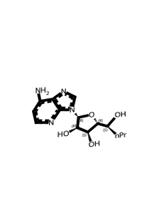 CCC[C@H](O)[C@H]1O[C@@H](n2cnc3c(N)ccnc32)[C@H](O)[C@@H]1O